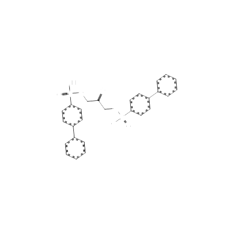 CP(=O)(OCC(=O)COP(C)(=O)c1ccc(-c2ccccc2)cc1)c1ccc(-c2ccccc2)cc1